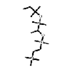 CCC(C)(C)O[Si](C)(C)C(C)O[Si](C)(C)CC[Si](C)(C)C